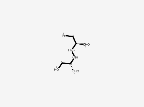 CC(C)C[C@@H](C=O)NN[C@H](C=O)CO